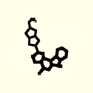 CCN1CC2CN(c3ncc4c(=O)cc5[nH]c6ccccc6n5c4n3)CC2C1